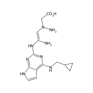 N/C(=C\N(N)CC(=O)O)Nc1nc(NCC2CC2)c2cc[nH]c2n1